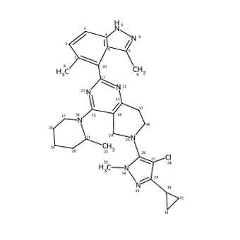 Cc1ccc2[nH]nc(C)c2c1-c1nc2c(c(N3CCCCC3C)n1)CN(c1c(Cl)c(C3CC3)nn1C)CC2